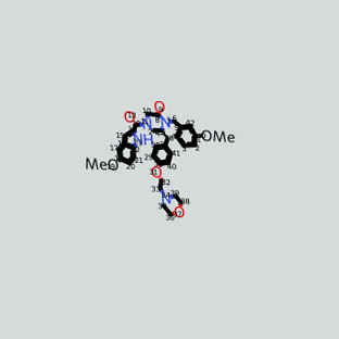 COc1cccc(CN2C(=O)CN(C(=O)c3cc4cc(OC)ccc4[nH]3)C[C@@H]2Cc2ccc(OCCN3CCOCC3)cc2)c1